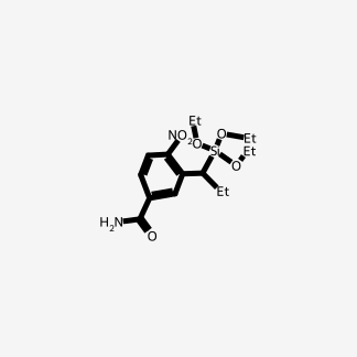 CCO[Si](OCC)(OCC)C(CC)c1cc(C(N)=O)ccc1[N+](=O)[O-]